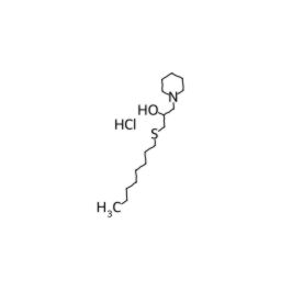 CCCCCCCCSCC(O)CN1CCCCC1.Cl